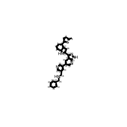 Cc1ccc(-c2cccc3[nH]c(-c4n[nH]c5ncc(-c6cncc(CNCc7ccccc7)c6)cc45)cc23)s1